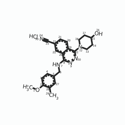 COc1ccc(CNc2nnc(N3CCC(O)CC3)c3ccc(C#N)cc23)cc1C.Cl